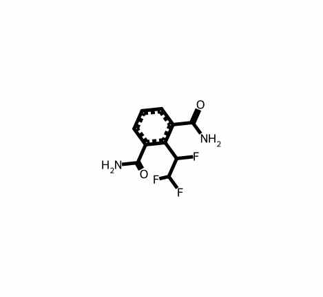 NC(=O)c1cccc(C(N)=O)c1C(F)C(F)F